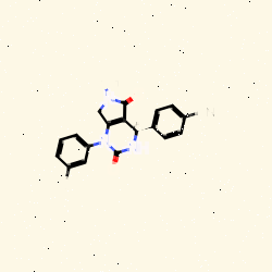 CCCN1CC2=C(C1=O)[C@@H](c1ccc(C#N)cc1)NC(=O)N2c1cccc(C(F)(F)F)c1